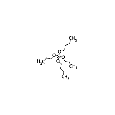 CCCCO[Si](OCCC)(OCCC)OCCCC